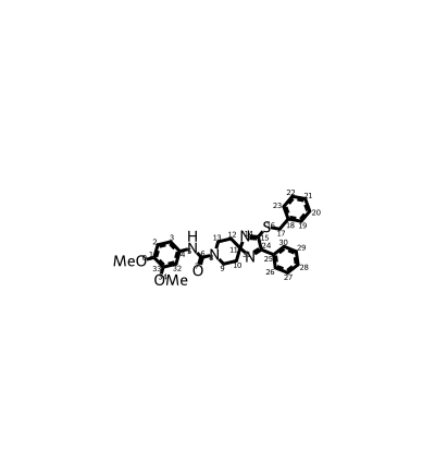 COc1ccc(NC(=O)N2CCC3(CC2)N=C(SCc2ccccc2)C(c2ccccc2)=N3)cc1OC